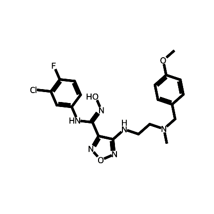 COc1ccc(CN(C)CCNc2nonc2C(=NO)Nc2ccc(F)c(Cl)c2)cc1